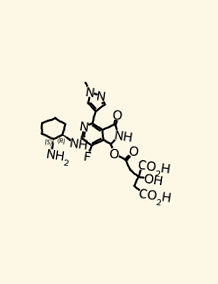 Cn1cc(-c2nc(N[C@@H]3CCCC[C@@H]3N)c(F)c3c2C(=O)NC3OC(=O)CC(O)(CC(=O)O)C(=O)O)cn1